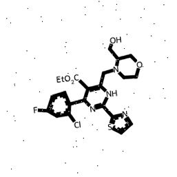 CCOC(=O)C1=C(CN2CCOCC2CO)NC(c2nccs2)=NC1c1ccc(F)cc1Cl